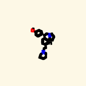 COc1ccc([C@@H]2CN3CCC[C@H]3c3cc(CCN4CCCCC4)ccc32)cc1